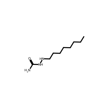 CCCCCCCCNNC(N)=O